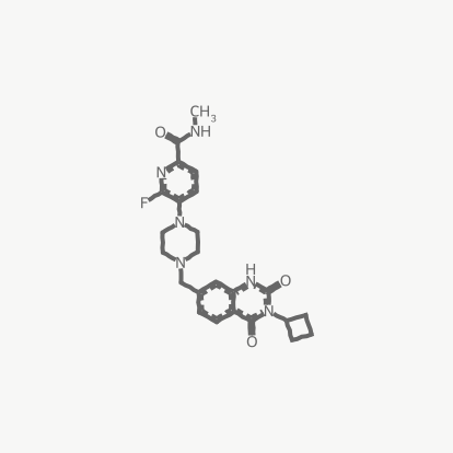 CNC(=O)c1ccc(N2CCN(Cc3ccc4c(=O)n(C5CCC5)c(=O)[nH]c4c3)CC2)c(F)n1